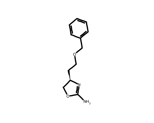 NC1=N[C@H](CCOCc2ccccc2)CO1